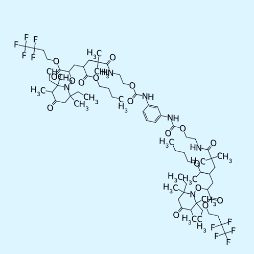 CCCCOC(=O)C(CC(ON1C(C)(CC)CC(=O)C(C)C1(C)CC)C(=O)OCCC(F)(F)C(F)(F)F)CC(C)(C)C(=O)NCCOC(=O)Nc1cccc(NC(=O)OCCNC(=O)C(C)(C)CC(CC(ON2C(C)(CC)CC(=O)C(C)C2(C)CC)C(=O)OCCC(F)(F)C(F)(F)F)C(C)OCCCC)c1